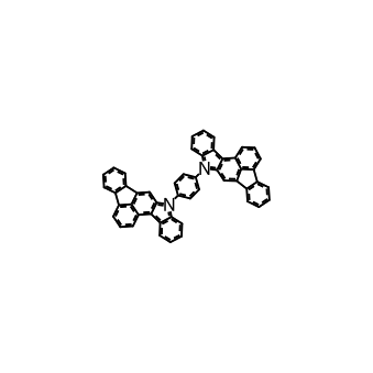 c1ccc2c(c1)-c1cccc3c1c-2cc1c3c2ccccc2n1-c1ccc(-n2c3ccccc3c3c4cccc5c4c(cc32)-c2ccccc2-5)cc1